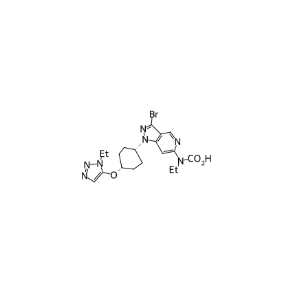 CCN(C(=O)O)c1cc2c(cn1)c(Br)nn2[C@H]1CC[C@@H](Oc2cnnn2CC)CC1